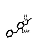 CC(=O)Oc1c(Cc2ccccc2)ccc2[nH]c(C)cc12